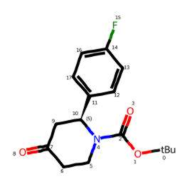 CC(C)(C)OC(=O)N1CCC(=O)C[C@H]1c1ccc(F)cc1